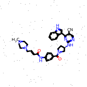 CN1CCN(C/C=C/C(=O)Nc2ccc(C(=O)N3CC[C@@H](Nc4ncc(C#N)c(-c5c[nH]c6ccccc56)n4)C3)cc2)CC1